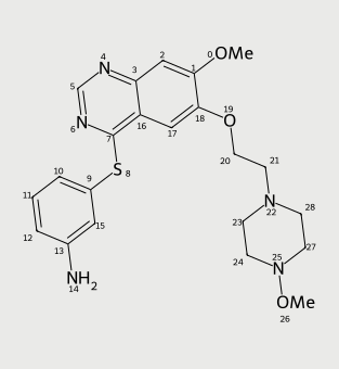 COc1cc2ncnc(Sc3cccc(N)c3)c2cc1OCCN1CCN(OC)CC1